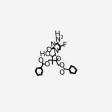 CC1(COC(=O)c2ccccc2)C(COC(=O)c2ccccc2)OC(n2cc(F)c(N)nc2=O)C1O